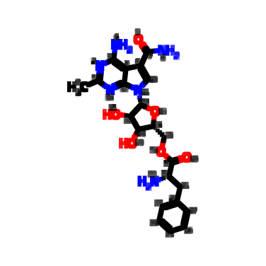 Cc1nc(N)c2c(C(N)=O)cn([C@@H]3O[C@H](COC(=O)[C@@H](N)Cc4ccccc4)[C@@H](O)[C@H]3O)c2n1